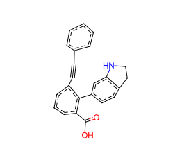 O=C(O)c1cccc(C#Cc2ccccc2)c1-c1ccc2c(c1)NCC2